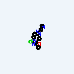 Clc1nc(-c2cccc(-c3nc(-c4ccc5ncccc5c4)nc4ccc5ccccc5c34)c2)c2oc3ccccc3c2n1